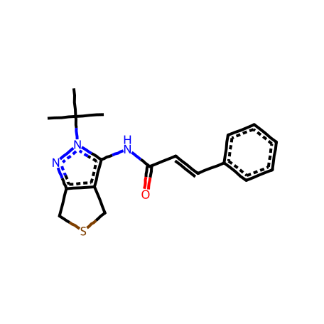 CC(C)(C)n1nc2c(c1NC(=O)C=Cc1ccccc1)CSC2